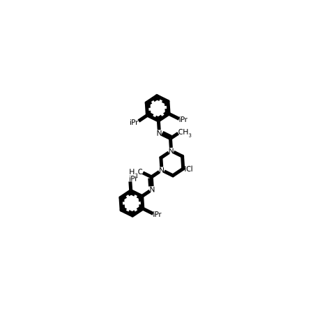 CC(=Nc1c(C(C)C)cccc1C(C)C)N1CCCN(C(C)=Nc2c(C(C)C)cccc2C(C)C)C1.Cl